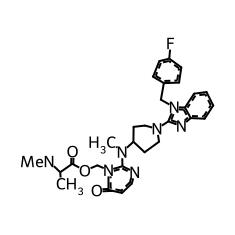 CNC(C)C(=O)OCn1c(N(C)C2CCN(c3nc4ccccc4n3Cc3ccc(F)cc3)CC2)nccc1=O